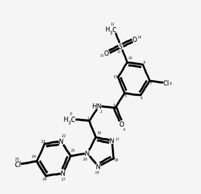 CC(NC(=O)c1cc(Cl)cc(S(C)(=O)=O)c1)c1ncnn1-c1ncc(Cl)cn1